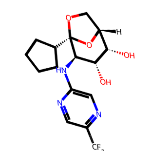 O[C@@H]1[C@H](O)[C@@H](Nc2cnc(C(F)(F)F)cn2)[C@@]2(C3CCCC3)OC[C@H]1O2